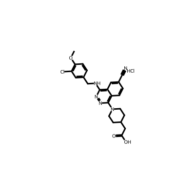 COc1ccc(CNc2nnc(N3CCC(CC(=O)O)CC3)c3ccc(C#N)cc23)cc1Cl.Cl